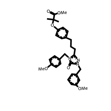 COC(=O)C(C)(C)Oc1ccc(CCCc2nn(Cc3cccc(OC)c3)c(=O)n2Cc2ccc(OC)cc2)cc1